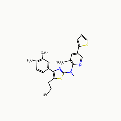 COc1cc(-c2nc(N(C)c3ncc(-c4cccs4)cc3C(=O)O)sc2CCC(C)C)ccc1C(F)(F)F